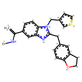 C=C(NCC)c1ccc2c(c1)nc(Cc1ccc3c(c1)CCO3)n2Cc1ccsc1